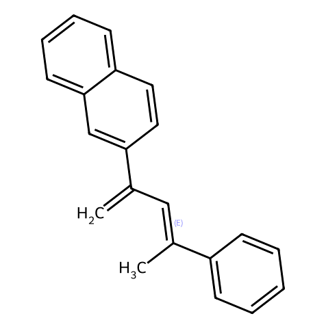 C=C(/C=C(\C)c1ccccc1)c1ccc2ccccc2c1